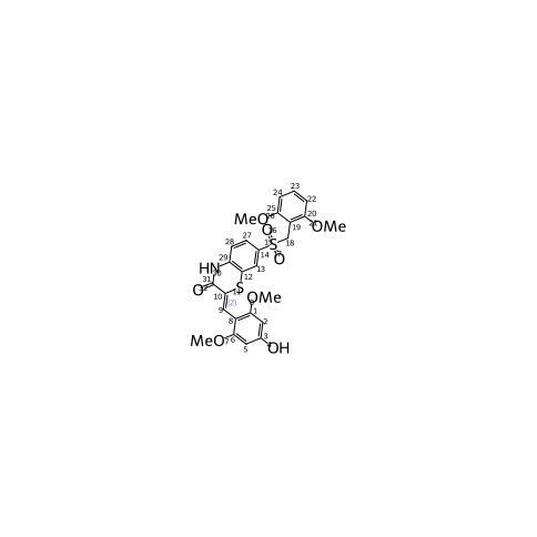 COc1cc(O)cc(OC)c1/C=C1\Sc2cc(S(=O)(=O)Cc3c(OC)cccc3OC)ccc2NC1=O